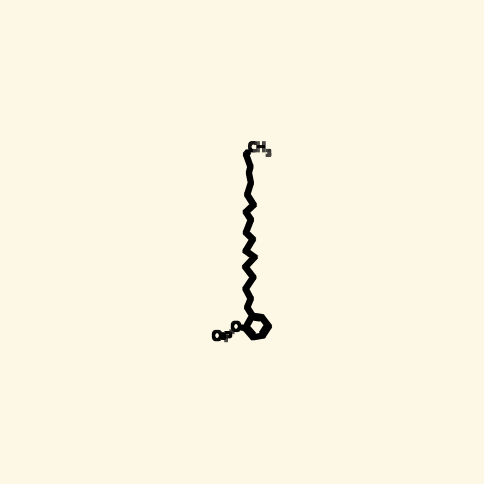 CCCCCCCCCCCCCCCCCCc1ccccc1OP=O